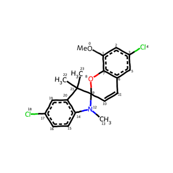 COc1cc(Cl)cc2c1OC1(C=C2)N(C)c2ccc(Cl)cc2C1(C)C